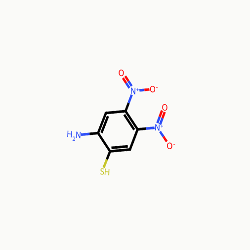 Nc1cc([N+](=O)[O-])c([N+](=O)[O-])cc1S